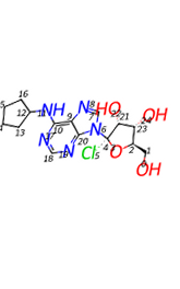 OC[C@H]1O[C@@](Cl)(n2cnc3c(NC4CCCC4)ncnc32)[C@H](O)[C@@H]1O